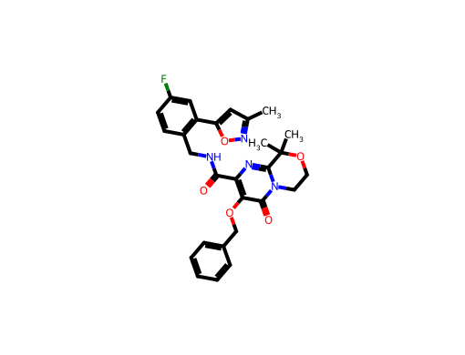 Cc1cc(-c2cc(F)ccc2CNC(=O)c2nc3n(c(=O)c2OCc2ccccc2)CCOC3(C)C)on1